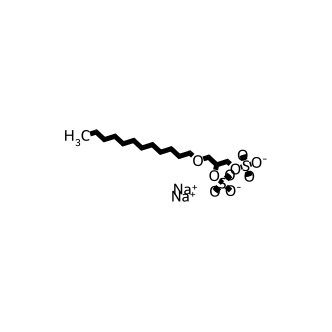 CCCCCCCCCCCCOCC(COS(=O)(=O)[O-])OS(=O)(=O)[O-].[Na+].[Na+]